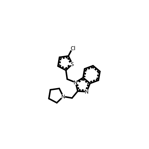 Clc1ccc(Cn2c(CN3CCCC3)nc3ccccc32)s1